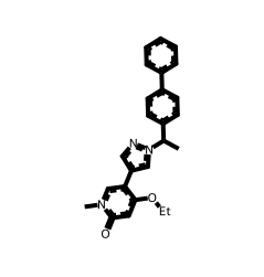 CCOc1cc(=O)n(C)cc1-c1cnn(C(C)c2ccc(-c3ccccc3)cc2)c1